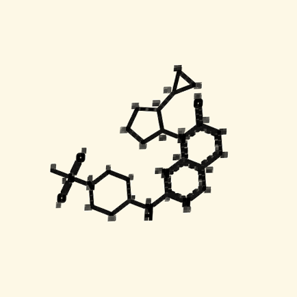 CS(=O)(=O)N1CCC(Nc2ncc3ccc(=O)n(C4CCCC4C4CC4)c3n2)CC1